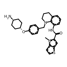 Cn1c(C(=O)Nc2cccc3c2N(Cc2ccc(O[C@H]4CC[C@H](N)CC4)cc2)CCC3)cc2sccc21